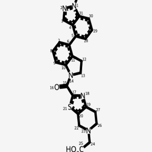 Cn1ncc2c(-c3cccc4c3CCN4C(=O)c3nc4c(s3)CN(CC(=O)O)CC4)cccc21